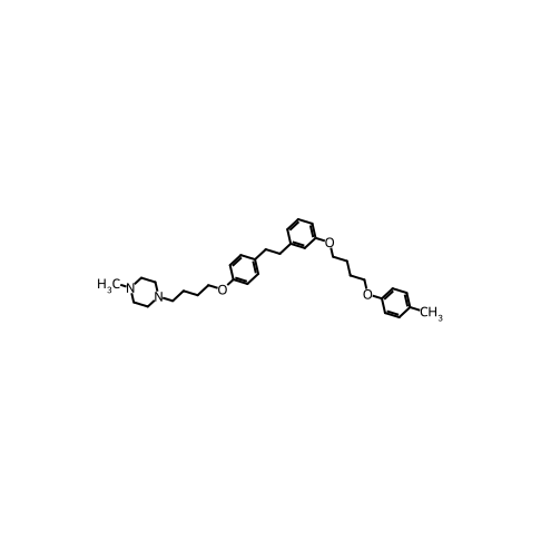 Cc1ccc(OCCCCOc2cccc(CCc3ccc(OCCCCN4CCN(C)CC4)cc3)c2)cc1